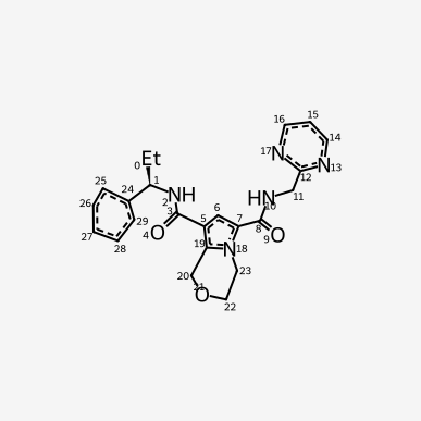 CC[C@@H](NC(=O)c1cc(C(=O)NCc2ncccn2)n2c1COCC2)c1ccccc1